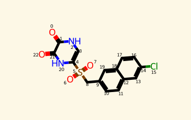 O=c1[nH]cc(S(=O)(=O)Cc2ccc3cc(Cl)ccc3c2)[nH]c1=O